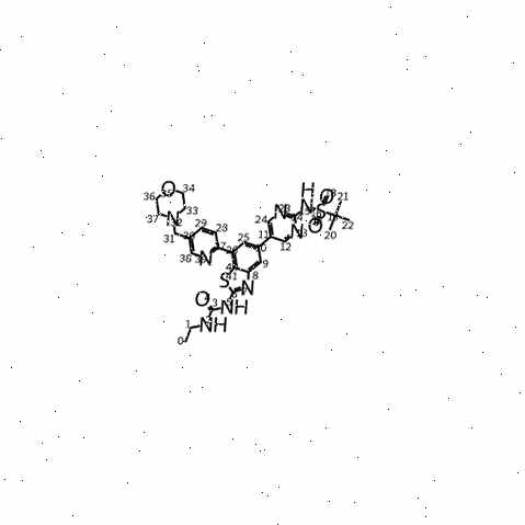 CCNC(=O)Nc1nc2cc(-c3cnc(NS(=O)(=O)C(C)(C)C)nc3)cc(-c3ccc(CN4CCOCC4)cn3)c2s1